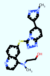 CN(CCO)c1ccnc2ccc(Sc3nnc4ccc(-c5cnn(C)c5)cn34)cc12